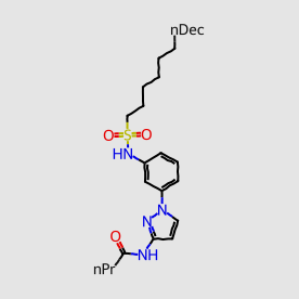 CCCCCCCCCCCCCCCCS(=O)(=O)Nc1cccc(-n2ccc(NC(=O)CCC)n2)c1